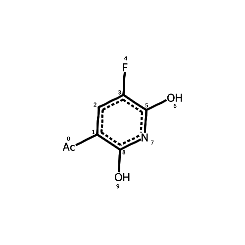 CC(=O)c1cc(F)c(O)nc1O